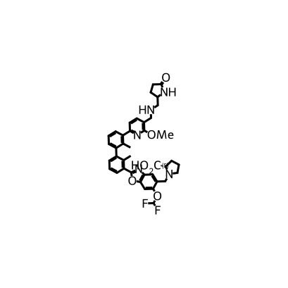 COc1nc(-c2cccc(-c3cccc(-c4nc5cc(CN6CCC[C@H]6C(=O)O)c(OC(F)F)cc5o4)c3C)c2C)ccc1CNCC1CCC(=O)N1